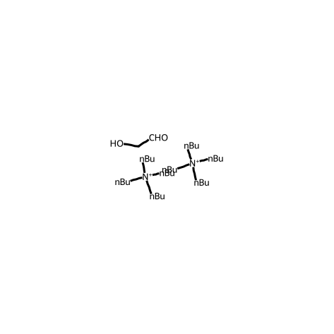 CCCC[N+](CCCC)(CCCC)CCCC.CCCC[N+](CCCC)(CCCC)CCCC.O=CCO